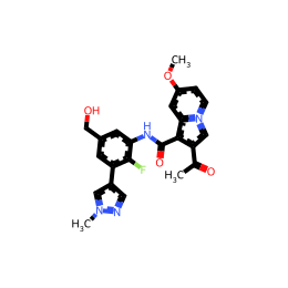 COc1ccn2cc(C(C)=O)c(C(=O)Nc3cc(CO)cc(-c4cnn(C)c4)c3F)c2c1